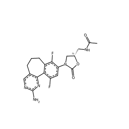 CC(=O)NC[C@H]1CN(c2cc(F)c3c(c2F)CCCc2cnc(N)nc2-3)C(=O)O1